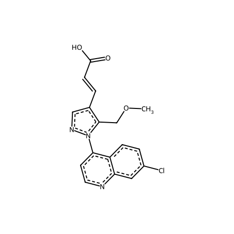 COCc1c(C=CC(=O)O)cnn1-c1ccnc2cc(Cl)ccc12